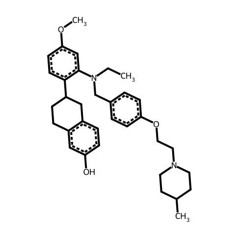 CCN(Cc1ccc(OCCN2CCC(C)CC2)cc1)c1cc(OC)ccc1C1CCc2cc(O)ccc2C1